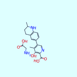 Cc1c(-c2ccc3c(c2)CCC(C)N3)cnc(C(=O)O)c1O.NCC(=O)O